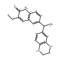 CCc1cc2cc(C(O)c3ccc4c(c3)OCCO4)ccc2[nH]c1=O